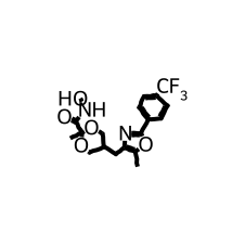 Cc1oc(-c2ccc(C(F)(F)F)cc2)nc1CC1COC(C)(C(=O)NO)OC1